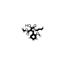 CCCCN1C(=O)C(O)C(C(=O)OCC)C1c1ccccc1OC